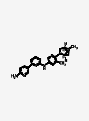 Cc1cc(Nc2nccc(-c3ccc(N)nc3)n2)cnc1N1C[C@@H]2C[C@H]1CN2C